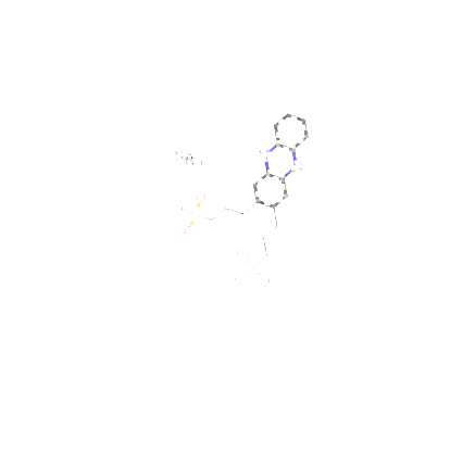 O=S(=O)([O-])CCCc1cc2nc3ccccc3nc2cc1CCCS(=O)(=O)[O-].[Na+].[Na+]